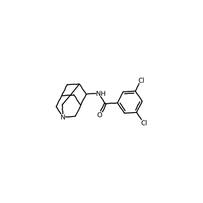 O=C(NC1C2CC3CC1CN(C3)C2)c1cc(Cl)cc(Cl)c1